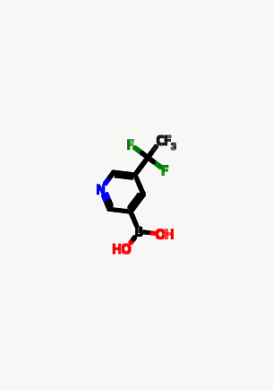 OB(O)c1cncc(C(F)(F)C(F)(F)F)c1